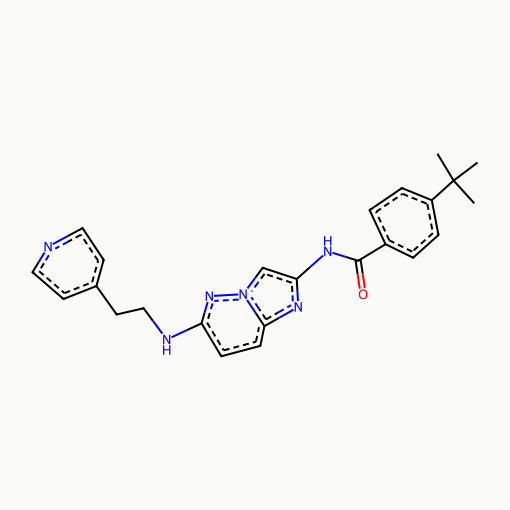 CC(C)(C)c1ccc(C(=O)Nc2cn3nc(NCCc4ccncc4)ccc3n2)cc1